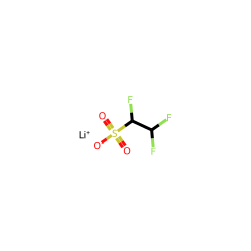 O=S(=O)([O-])C(F)C(F)F.[Li+]